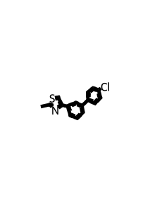 Cc1nc(-c2cccc(-c3ccc(Cl)cc3)c2)cs1